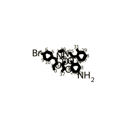 CCCC(c1ccc(Br)cc1)N1C=CN(CC(Oc2ccc(N)cc2)c2ccccc2C)C1OC(=O)C(C)=O